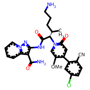 COc1cn([C@H](C(=O)Nc2nn3ccccc3c2C(N)=O)C(C)CCCN)c(=O)cc1-c1cc(Cl)ccc1C#N